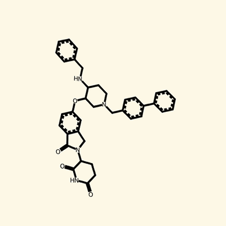 O=C1CCC(N2Cc3cc(OC4CN(Cc5ccc(-c6ccccc6)cc5)CCC4NCc4ccccc4)ccc3C2=O)C(=O)N1